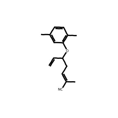 C=CC(C/C=C(\C)C#N)Oc1cc(C)ccc1C